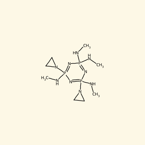 CNP1(NC)=NP(NC)(N2CC2)=NP(NC)(N2CC2)=N1